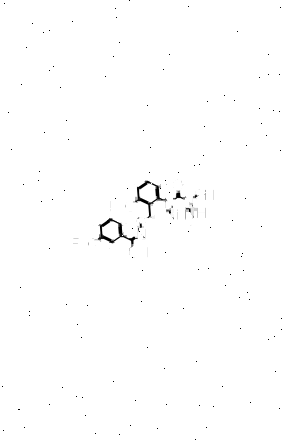 CC(=NOCc1c(N(N)C(=O)N(C)N)cccc1C(F)(F)F)c1cccc(C(F)(F)F)c1